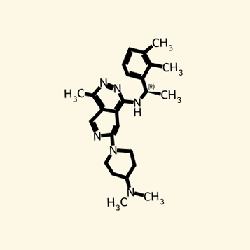 Cc1cccc([C@@H](C)Nc2nnc(C)c3cnc(N4CCC(N(C)C)CC4)cc23)c1C